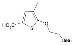 Cc1cc(C(=O)O)sc1OCCOCC(C)C